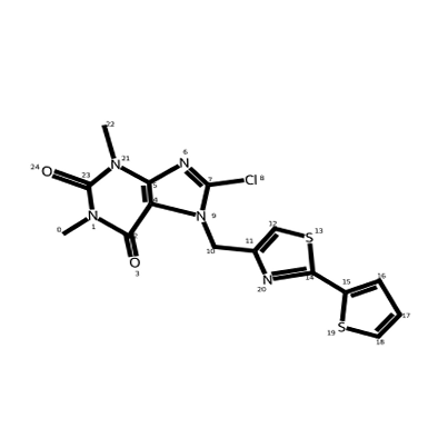 Cn1c(=O)c2c(nc(Cl)n2Cc2csc(-c3cccs3)n2)n(C)c1=O